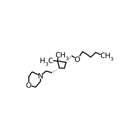 CCCCOC[C@@H]1C[C@H](CCN2CCOCC2)C1(C)C